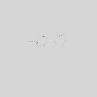 COc1cc(Cl)ccc1-c1cccc(F)c1C